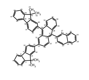 CC1(C)c2ccccc2-c2ccc(-c3ccc4c(-c5ccc6ccccc6n5)c5ccccc5c(-c5ccc6c(c5)C(C)(C)c5ccccc5-6)c4c3)cc21